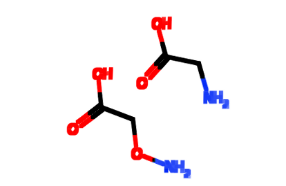 NCC(=O)O.NOCC(=O)O